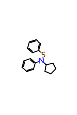 c1ccc(SN(c2ccccc2)C2CCCC2)cc1